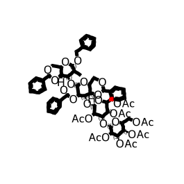 CC(=O)OCC1O[C@@H](O[C@@H]2C(OC(C)=O)[C@H](O[C@@H]3C(OC(=O)c4ccccc4)[C@H](O[C@@H]4C(C)[C@@H](OCc5ccccc5)OC5COC(c6ccccc6)O[C@H]54)OC4COC(c5ccccc5)O[C@H]43)OC(COC(C)=O)[C@H]2OC(C)=O)C(OC(C)=O)[C@@H](OC(C)=O)[C@@H]1OC(C)=O